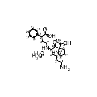 NCCCC[C@H](NCCC(C(=O)O)c1ccccc1)C(=O)[C@@]1(C(=O)O)CCCN1.O.O